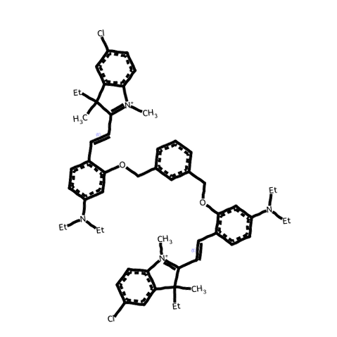 CCN(CC)c1ccc(/C=C/C2=[N+](C)c3ccc(Cl)cc3C2(C)CC)c(OCc2cccc(COc3cc(N(CC)CC)ccc3/C=C/C3=[N+](C)c4ccc(Cl)cc4C3(C)CC)c2)c1